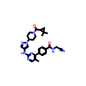 Cc1cnc(Nc2cnn(C3CCN(C(=O)C4CC4(C)C)CC3)c2)nc1-c1ccc(C(=O)NCC#N)cc1